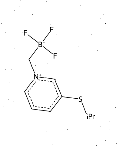 CC(C)Sc1ccc[n+](C[B-](F)(F)F)c1